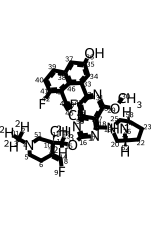 [2H]C([2H])([2H])N1CC/C(=C\F)[C@](C)(C([2H])([2H])Oc2nc(N3C[C@H]4CC[C@@H](C3)N4)c3c(OC)nc(-c4cc(O)cc5ccc(F)c(C#C)c45)c(F)c3n2)C1